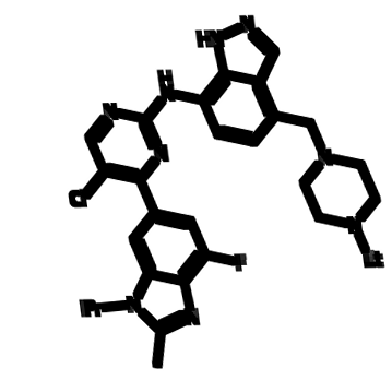 CCN1CCN(Cc2ccc(Nc3ncc(Cl)c(-c4cc(F)c5nc(C)n(C(C)C)c5c4)n3)c3[nH]ncc23)CC1